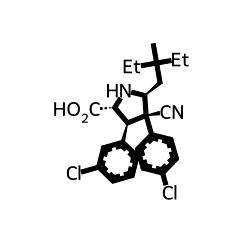 CCC(C)(CC)C[C@@H]1N[C@@H](C(=O)O)[C@H](c2cccc(Cl)c2)[C@@]1(C#N)c1ccc(Cl)cc1